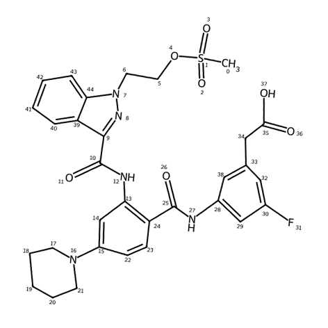 CS(=O)(=O)OCCn1nc(C(=O)Nc2cc(N3CCCCC3)ccc2C(=O)Nc2cc(F)cc(CC(=O)O)c2)c2ccccc21